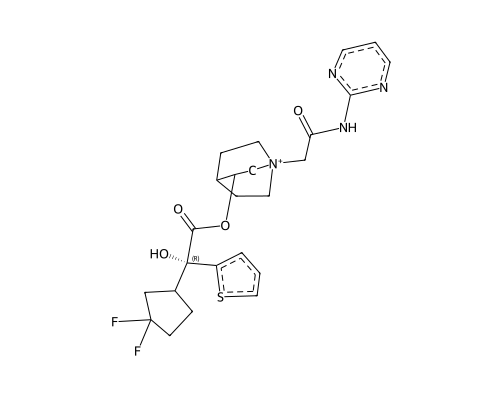 O=C(C[N+]12CCC(CC1)C(OC(=O)[C@@](O)(c1cccs1)C1CCC(F)(F)C1)C2)Nc1ncccn1